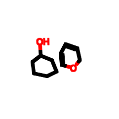 C1=CCOC=C1.OC1CCCCC1